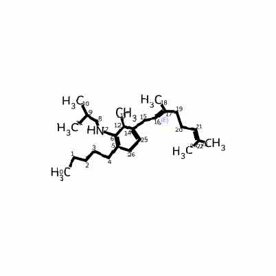 CCCCCC1=C(NCC(C)C)C(C)C(C/C=C(\C)CCC=C(C)C)=CC1